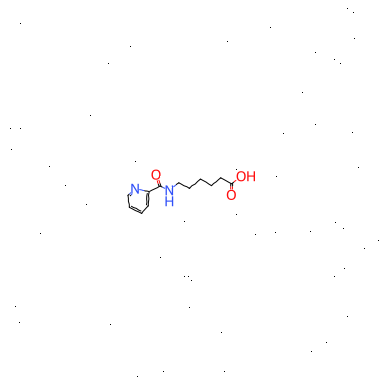 O=C(O)CCCCCNC(=O)c1ccccn1